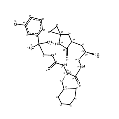 CC(C)(COC(=O)N[Si@@H](CC1CCCCC1)C(=O)NS[C@H](C#N)CC1CC2(CC2)NC1=O)c1cccc(Cl)c1